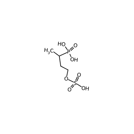 CC(CCOS(=O)(=O)O)P(=O)(O)O